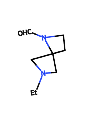 CCN1CC2(CCN2C=O)C1